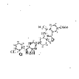 COc1ccc(C(C)N[C@@H]2COCC23CCN(c2cnc4c(-c5cccc(Cl)c5Cl)n[nH]c4n2)CC3)cc1